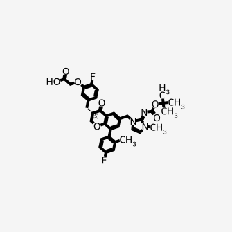 Cc1cc(F)ccc1-c1cc(Cn2ccn(C)c2=NC(=O)OC(C)(C)C)cc2c1OC[C@H](Cc1ccc(F)c(OCC(=O)O)c1)C2=O